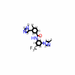 Cc1cn(-c2cc(NC(=O)c3ccc(C)c(-c4cncn4C)c3)cc(C(F)(F)F)c2)cn1